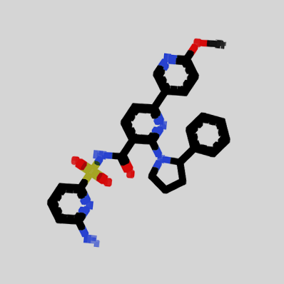 CC(C)Oc1ccc(-c2ccc(C(=O)NS(=O)(=O)c3cccc(N)n3)c(N3CCCC3c3ccccc3)n2)cn1